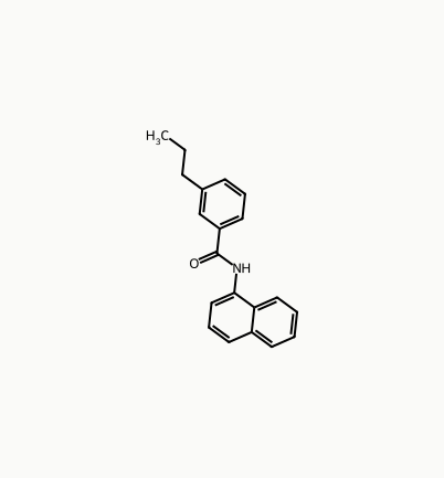 CCCc1cccc(C(=O)Nc2cccc3ccccc23)c1